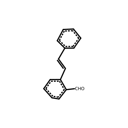 O=Cc1ccccc1/C=C/c1ccccc1